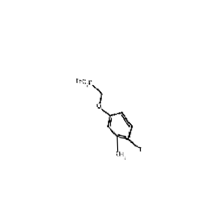 CCOC(=O)COc1ccc(F)c(C)c1